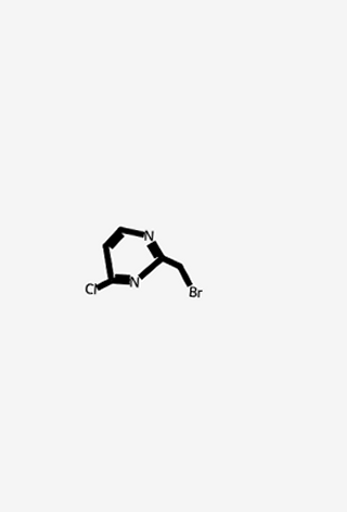 Clc1ccnc(CBr)n1